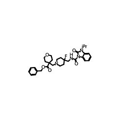 CC(C)n1c(=O)n(C(=O)NCC2(F)CCN(CC3(C(=O)OCc4ccccc4)CCOCC3)CC2)c2ccccc21